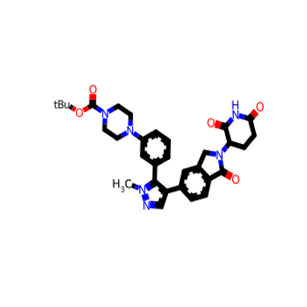 Cn1ncc(-c2ccc3c(c2)CN(C2CCC(=O)NC2=O)C3=O)c1-c1cccc(N2CCN(C(=O)OC(C)(C)C)CC2)c1